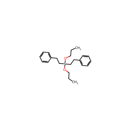 CCCO[Si](CCc1ccccc1)(CCc1ccccc1)OCCC